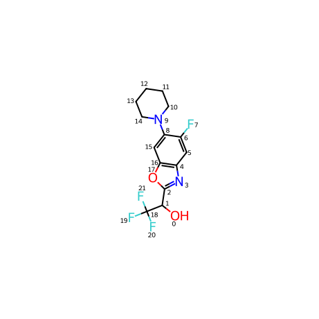 OC(c1nc2cc(F)c(N3CCCCC3)cc2o1)C(F)(F)F